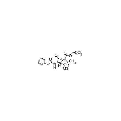 CC1(CCl)C(C(=O)OCC(Cl)(Cl)Cl)N2C(=O)C(NC(=O)Cc3ccccc3)[C@H]2[S+]1[O-]